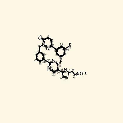 O=c1ccc(-c2cc(F)cc(F)c2)nn1Cc1cccc(-c2ncc(C3=NC(CCO)N=C3)cn2)c1